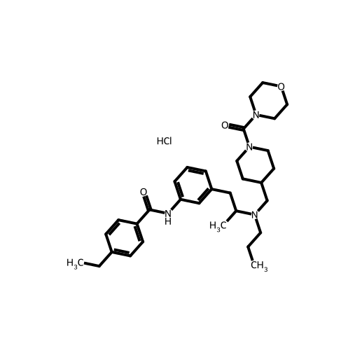 CCCN(CC1CCN(C(=O)N2CCOCC2)CC1)C(C)Cc1cccc(NC(=O)c2ccc(CC)cc2)c1.Cl